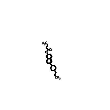 CCCC(=O)Oc1ccc2cc(C3CCC(CCC)CC3)ccc2c1